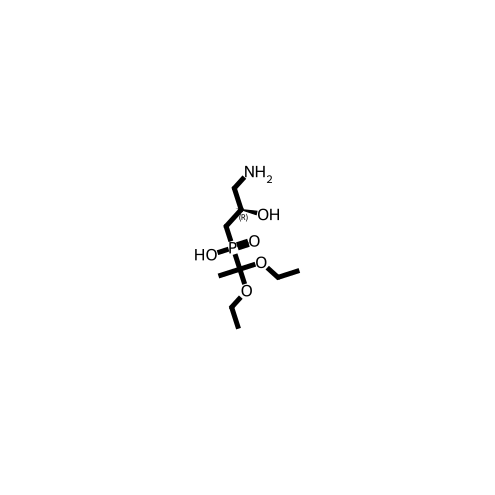 CCOC(C)(OCC)P(=O)(O)C[C@H](O)CN